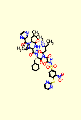 CC[C@H](N)CC(=O)N(C(=O)C(=O)NS(=O)(=O)c1ccc(Sc2ncccn2)c([N+](=O)[O-])c1)C(=O)[C@H](CC1CCCCC1)NC(=O)[C@@H](NC(=O)[C@H](CC(C)C)NC(=O)c1cnccn1)[C@@H](C)CC